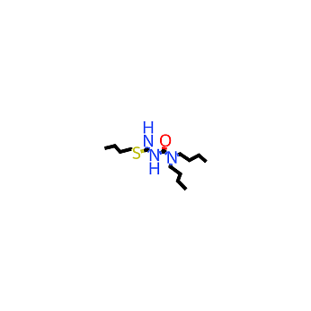 CCCCSC(=N)NC(=O)N(CCCC)CCCC